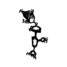 Oc1cc(-c2cn[nH]c2)ccc1-c1ccc(OC2C[C@H]3CC(F)C[C@@H](C2)N3)nn1